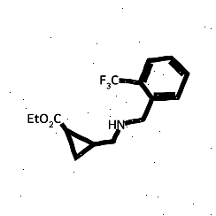 CCOC(=O)C1CC1CNCc1ccccc1C(F)(F)F